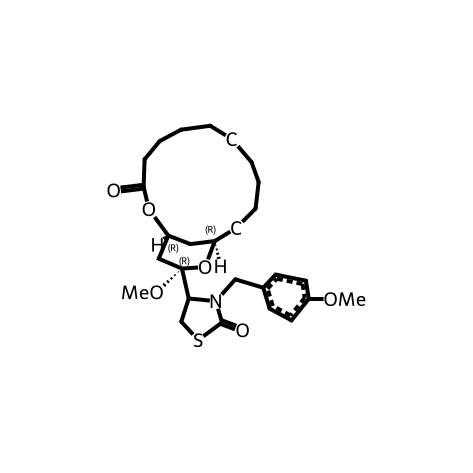 COc1ccc(CN2C(=O)SCC2[C@@]2(OC)C[C@H]3C[C@@H](CCCCCCCCCC(=O)O3)O2)cc1